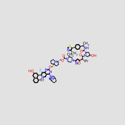 CCc1cccc2cc(O)cc(-c3ncc4c(N5CC6CCC(C5)N6)nc(OC[C@]56CCCN5[C@H](COC(=O)N5CCN(c7cc([C@@H](C(=O)N8C[C@H](O)C[C@H]8C(=O)N[C@@H](C)c8ccc(-c9scnc9C)cc8)C(C)C)on7)C[C@H]5C)CC6)nc4c3F)c12